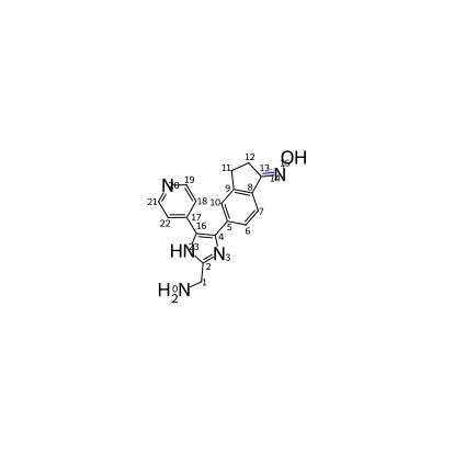 NCc1nc(-c2ccc3c(c2)CC/C3=N\O)c(-c2ccncc2)[nH]1